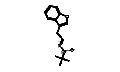 CC(C)(C)[S@@+]([O-])/N=C/Cc1coc2ccccc12